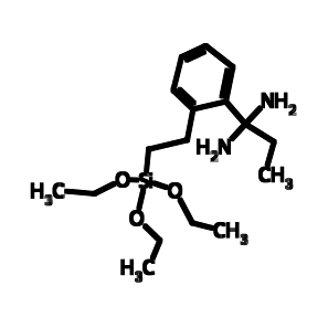 CCO[Si](CCc1ccccc1C(N)(N)CC)(OCC)OCC